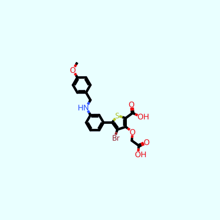 COc1ccc(CNc2cccc(-c3sc(C(=O)O)c(OCC(=O)O)c3Br)c2)cc1